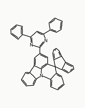 c1ccc(-c2cc(-c3ccccc3)nc(-c3cc4c5c(c3)c3ccccc3n5-c3ccccc3C43c4ccccc4-c4ccccc43)n2)cc1